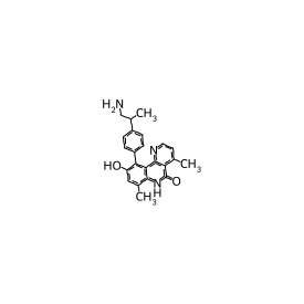 Cc1cc(O)c(-c2ccc(C(C)CN)cc2)c2c1[nH]c(=O)c1c(C)ccnc12